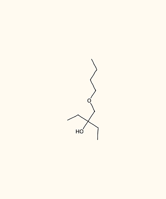 CCCCOCC(O)(CC)CC